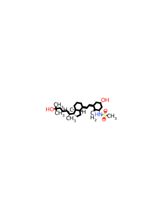 C=C1/C(=C\C=C2/CCC[C@]3(C)[C@@H]([C@H](C)CCCC(C)(C)O)CC[C@@H]23)C[C@@H](O)C[C@@H]1NS(C)(=O)=O